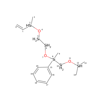 C=C[SiH](C)O[SiH2][SiH2]O[Si](C)([SiH2]O[SiH](C)C)c1ccccc1